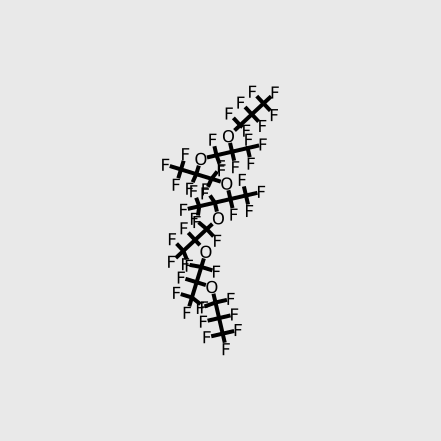 FC(F)(F)C(F)(F)C(F)(F)OC(F)(C(F)(F)F)C(F)(F)OC(F)(C(F)(F)F)C(F)(F)OC(F)(C(F)(F)F)C(F)(OC(F)(F)C(F)(OC(F)(F)C(F)(OC(F)(F)C(F)(F)C(F)(F)F)C(F)(F)F)C(F)(F)F)C(F)(F)F